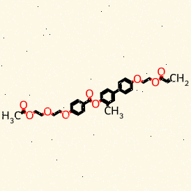 C=CC(=O)OCCOc1ccc(-c2ccc(OC(=O)c3ccc(OCCOCCOC(C)=O)cc3)c(C)c2)cc1